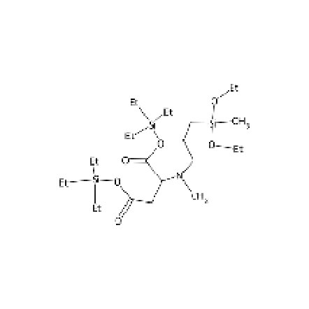 CCO[Si](C)(CCCN(C)C(CC(=O)O[Si](CC)(CC)CC)C(=O)O[Si](CC)(CC)CC)OCC